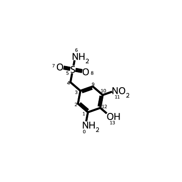 Nc1cc(CS(N)(=O)=O)cc([N+](=O)[O-])c1O